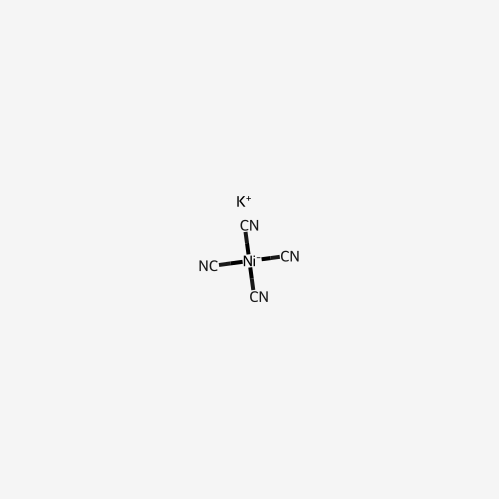 N#[C][Ni-]([C]#N)([C]#N)[C]#N.[K+]